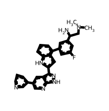 CN(C)CC(N)c1cc(F)cc(-c2cccc3[nH]c(-c4n[nH]c5ncc(-c6cccnc6)cc45)cc23)c1